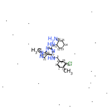 Cc1ccc(CNc2nc(NC3CCCCC3N)nc3c2cnn3C)cc1Cl